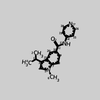 CC(C)c1cn(C)c2ccc(C(=O)Nc3ccncc3)cc12